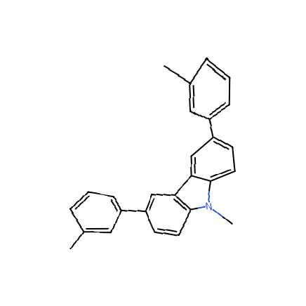 Cc1cccc(-c2ccc3c(c2)c2cc(-c4cccc(C)c4)ccc2n3C)c1